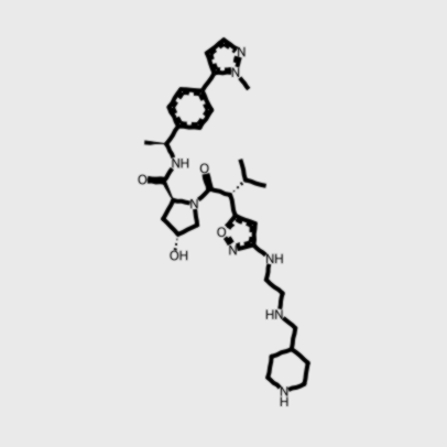 CC(C)[C@@H](C(=O)N1C[C@H](O)C[C@H]1C(=O)N[C@@H](C)c1ccc(-c2ccnn2C)cc1)c1cc(NCCNCC2CCNCC2)no1